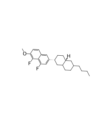 CCCCC1CCC2C[C@H](c3cc(F)c4c(F)c(OC)ccc4c3)CC[C@@H]2C1